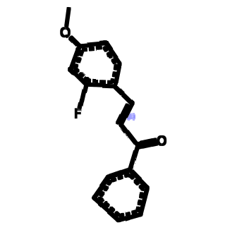 COc1ccc(/C=C/C(=O)c2ccccc2)c(F)c1